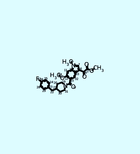 COC(=O)C(=O)c1cn(C)c2cc(OC)c(C(=O)N3CCC(Cc4ccc(F)cc4)CC3)cc12